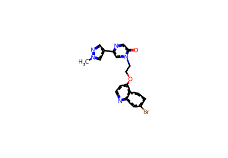 Cn1cc(-c2cn(CCOc3ccnc4cc(Br)ccc34)c(=O)cn2)cn1